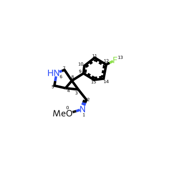 CO/N=C\C1C2CNCC12c1ccc(F)cc1